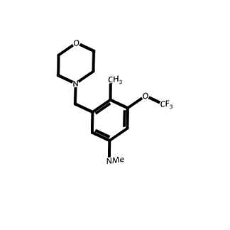 CNc1cc(CN2CCOCC2)c(C)c(OC(F)(F)F)c1